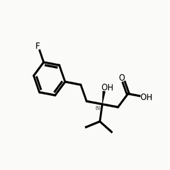 CC(C)[C@](O)(CCc1cccc(F)c1)CC(=O)O